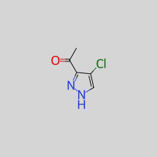 CC(=O)c1n[nH]cc1Cl